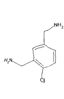 NCc1ccc(Cl)c(CN)c1